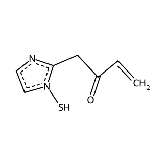 C=CC(=O)Cc1nccn1S